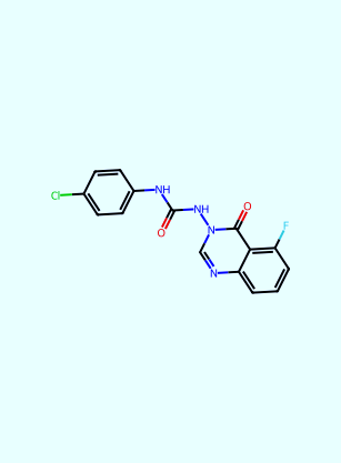 O=C(Nc1ccc(Cl)cc1)Nn1cnc2cccc(F)c2c1=O